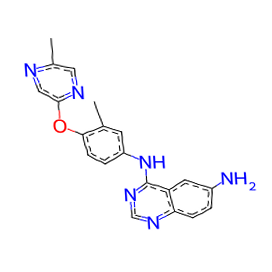 Cc1cnc(Oc2ccc(Nc3ncnc4ccc(N)cc34)cc2C)cn1